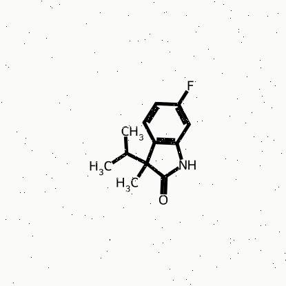 CC(C)C1(C)C(=O)Nc2cc(F)ccc21